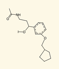 CC(=O)NCCC(OI)c1cccc(OCC2CCCC2)c1